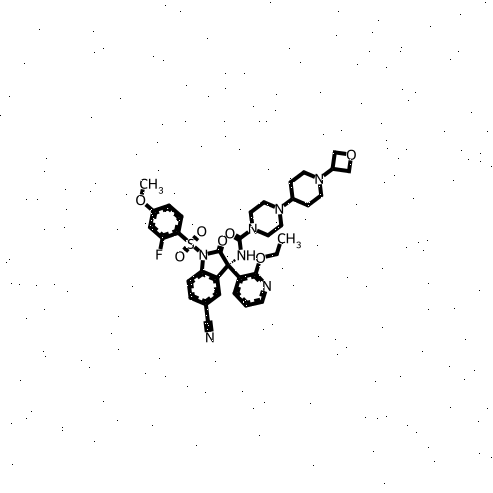 CCOc1ncccc1[C@]1(NC(=O)N2CCN(C3CCN(C4COC4)CC3)CC2)C(=O)N(S(=O)(=O)c2ccc(OC)cc2F)c2ccc(C#N)cc21